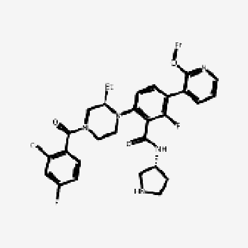 CCOc1ncccc1-c1ccc(N2CCN(C(=O)c3ccc(F)cc3Cl)C[C@H]2CC)c(C(=O)N[C@@H]2CCNC2)c1F